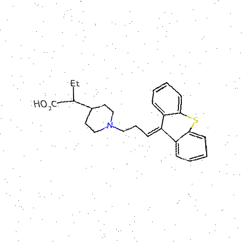 CCC(C(=O)O)C1CCN(CCC=C2c3ccccc3Sc3ccccc32)CC1